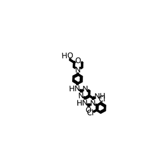 N=c1c2cnc(Nc3ccc(N4CCOC(CO)C4)cc3)nc2[nH]c(=O)n1-c1c(Cl)cccc1Cl